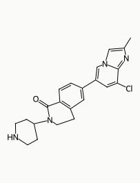 Cc1cn2cc(-c3ccc4c(c3)CCN(C3CCNCC3)C4=O)cc(Cl)c2n1